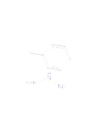 Cc1ccccc1.NNC=O